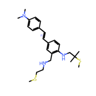 CSCCNCc1cc(/C=C/c2ccc(N(C)C)cc2)ccc1NCC(C)(C)SC